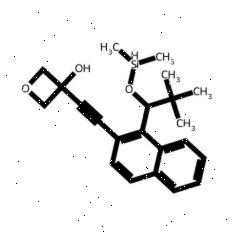 C[SiH](C)OC(c1c(C#CC2(O)COC2)ccc2ccccc12)C(C)(C)C